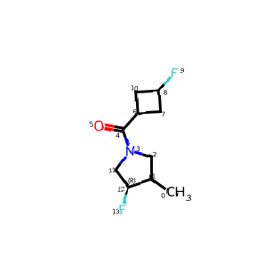 CC1CN(C(=O)C2CC(F)C2)C[C@@H]1F